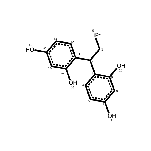 CC(C)CC(c1ccc(O)cc1O)c1ccc(O)cc1O